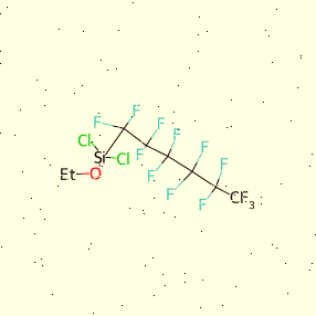 CCO[Si](Cl)(Cl)C(F)(F)C(F)(F)C(F)(F)C(F)(F)C(F)(F)C(F)(F)F